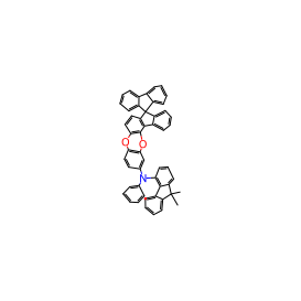 CC1(C)c2ccccc2-c2c(N(c3ccccc3)c3ccc4c(c3)Oc3c(ccc5c3-c3ccccc3C53c5ccccc5-c5ccccc53)O4)cccc21